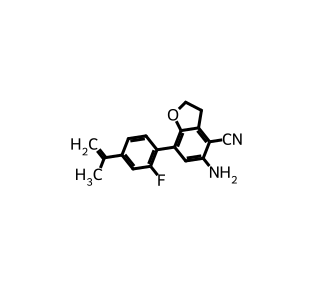 C=C(C)c1ccc(-c2cc(N)c(C#N)c3c2OCC3)c(F)c1